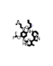 C=C/C=C\C(=O)Nc1cc(Nc2ncc(C)c(-c3cnn4ccccc34)n2)c(OC(F)F)cc1N(C)CCN(C)C